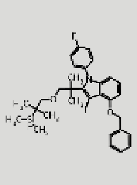 C[SiH](C)C(C)(C)COCC(C)(C)c1c(I)c2c(OCc3ccccc3)cccc2n1-c1ccc(F)cc1